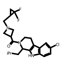 CC(C)CC1c2[nH]c3ccc(Cl)cc3c2CCN1C(=O)C1CN(CC2CC2(F)F)C1